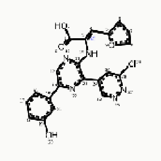 O=C(O)/C(=C/c1ccco1)Nc1ncc(-c2cccc(O)c2)nc1-c1cnnc(Cl)c1